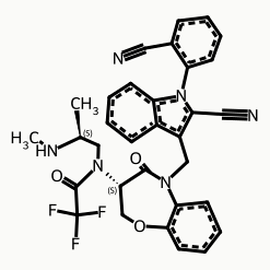 CN[C@@H](C)CN(C(=O)C(F)(F)F)[C@H]1COc2ccccc2N(Cc2c(C#N)n(-c3ccccc3C#N)c3ccccc23)C1=O